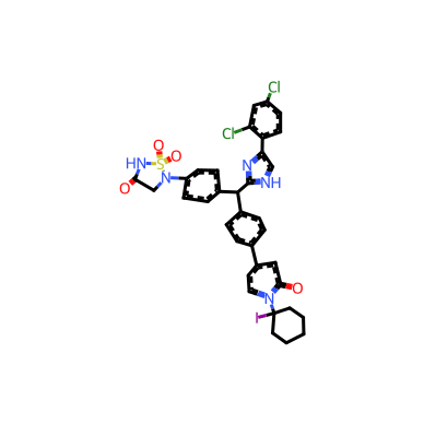 O=C1CN(c2ccc(C(c3ccc(-c4ccn(C5(I)CCCCC5)c(=O)c4)cc3)c3nc(-c4ccc(Cl)cc4Cl)c[nH]3)cc2)S(=O)(=O)N1